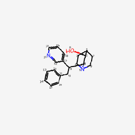 OC1C2CCN(CC2)C1C(Cc1ccccc1)c1cccnc1